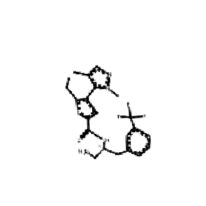 CCc1sc(C(=O)N[C@H](CN)Cc2cccc(C(F)(F)F)c2)cc1-c1c(C)cnn1C